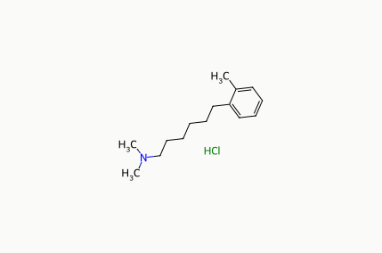 Cc1ccccc1CCCCCCN(C)C.Cl